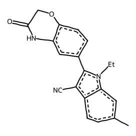 CCn1c(-c2ccc3c(c2)NC(=O)CO3)c(C#N)c2ccc(C)cc21